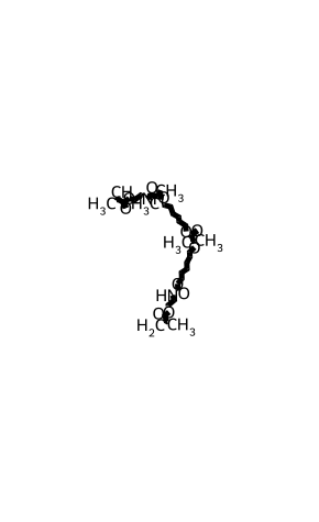 C=C(C)C(=O)OCCNC(=O)OCCCCCCOC(C)(C)C(=O)OCCCCCCOC(C)(C)C(=O)NCCOC(=O)C(=C)C